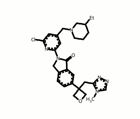 CCC1CCCN(Cc2cc(Cl)nc(N3Cc4ccc(C5(Cc6nncn6C)COC5)cc4C3=O)c2)C1